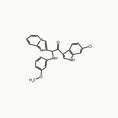 COc1cccc(NC(C(=O)c2c[nH]c3cc(Cl)ccc23)c2cn3ccccc3n2)c1